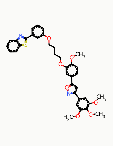 COc1ccc(-c2cc(-c3cc(OC)c(OC)c(OC)c3)no2)cc1OCCCCOc1cccc(-c2nc3ccccc3s2)c1